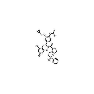 O=C(OC(Cc1c(Cl)c[n+]([O-])cc1Cl)c1ccc(OC(F)F)c(OCC2CC2)c1)C1CCCN1CCS(=O)(=O)c1ccccc1